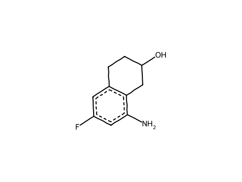 Nc1cc(F)cc2c1CC(O)CC2